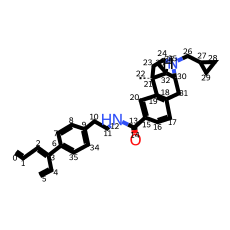 C=C/C=C(\C=C)c1ccc(CCNC(=O)c2ccc3c(c2)[C@@]2(C)CCN(CC4CC4)C(C3)[C@@H]2C)cc1